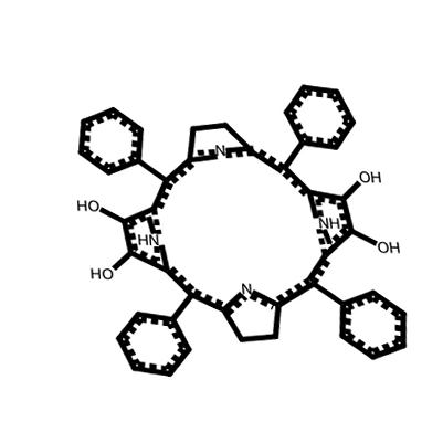 Oc1c(O)c2[nH]c1c(-c1ccccc1)c1nc(c(-c3ccccc3)c3[nH]c(c(O)c3O)c(-c3ccccc3)c3nc(c2-c2ccccc2)CC3)CC1